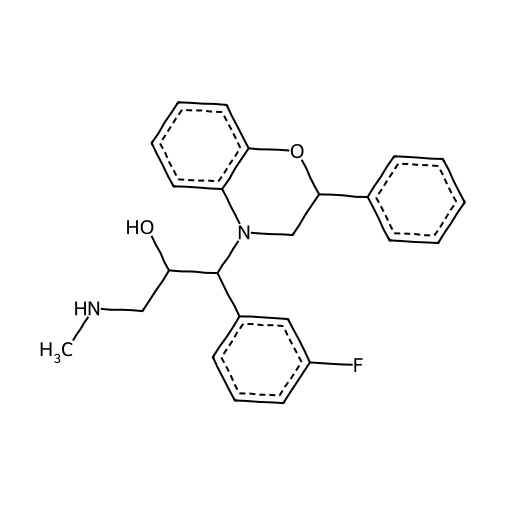 CNCC(O)C(c1cccc(F)c1)N1CC(c2ccccc2)Oc2ccccc21